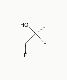 C[C@](O)(F)CF